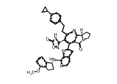 COc1cccc2c1CC[C@H]2Nc1nccc2cc(-c3c4c(nc(CCc5ccc(C6CC6)cc5)c3-c3noc(=O)[nH]3)[C@@H]3CCCN3C4=O)sc12